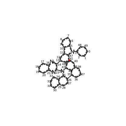 c1ccc(-n2c3ccccc3c3cc(-c4nc5ccccc5nc4N4c5c(ccc6ccccc56)-c5cccc6cccc4c56)ccc32)cc1